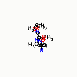 COC(=O)c1cc(C2CCN(C(=O)OC(C)(C)C)CC2)cc2nc(C(C)C)n(Cc3ccc(C#N)c4ccccc34)c12